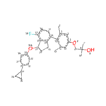 Cc1cc(OCC(C)(C)O)cc(C)c1-c1ccc(F)c2c1CCC2Oc1ccc(C2CC2)cc1